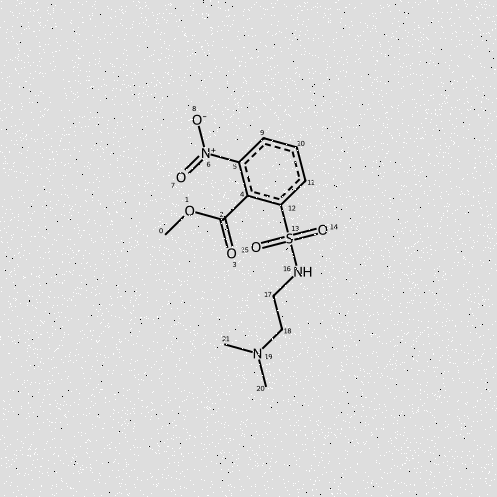 COC(=O)c1c([N+](=O)[O-])cccc1S(=O)(=O)NCCN(C)C